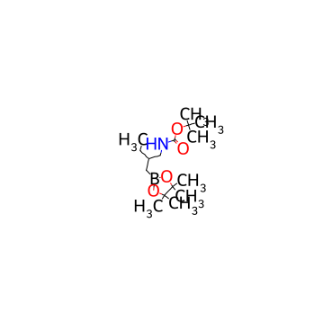 CCC(CNC(=O)OC(C)(C)C)CB1OC(C)(C)C(C)(C)O1